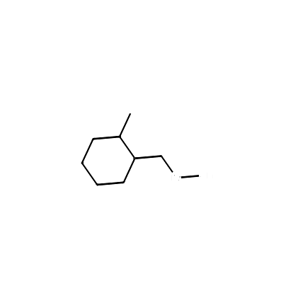 CCCNCC1CCCCC1C